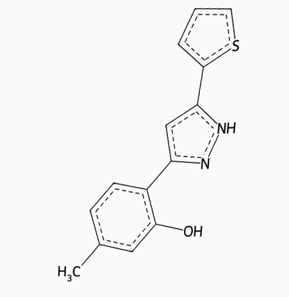 Cc1ccc(-c2cc(-c3cccs3)[nH]n2)c(O)c1